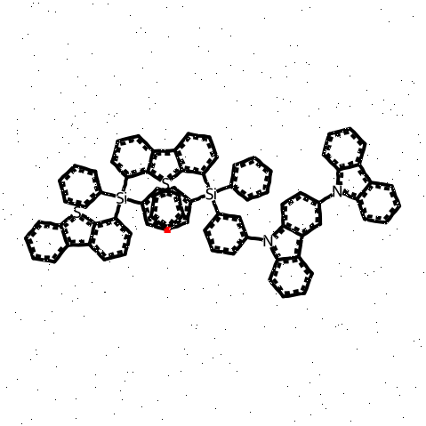 c1ccc([Si](c2ccccc2)(c2cccc(-n3c4ccccc4c4cc(-n5c6ccccc6c6ccccc65)ccc43)c2)c2cccc3c2sc2c([Si](c4ccccc4)(c4ccccc4)c4cccc5c4sc4ccccc45)cccc23)cc1